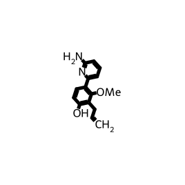 C=CCc1c(O)ccc(-c2cccc(N)n2)c1OC